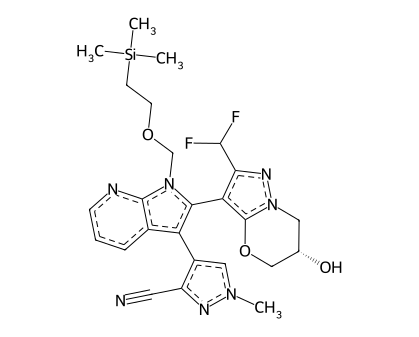 Cn1cc(-c2c(-c3c(C(F)F)nn4c3OC[C@@H](O)C4)n(COCC[Si](C)(C)C)c3ncccc23)c(C#N)n1